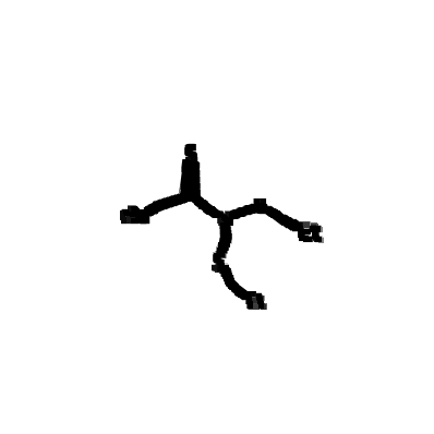 CCCCC(=S)N(SCC)SCC